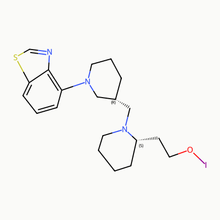 IOCC[C@@H]1CCCCN1C[C@H]1CCCN(c2cccc3scnc23)C1